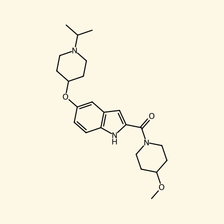 COC1CCN(C(=O)c2cc3cc(OC4CCN(C(C)C)CC4)ccc3[nH]2)CC1